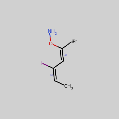 C/C=C(I)\C=C(/ON)C(C)C